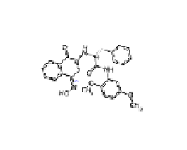 COc1ccc(OC)c(NC(=O)[C@@H](Cc2ccccc2)NC2=C/C(=N/O)c3ccccc3C2=O)c1